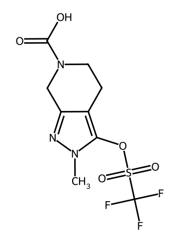 Cn1nc2c(c1OS(=O)(=O)C(F)(F)F)CCN(C(=O)O)C2